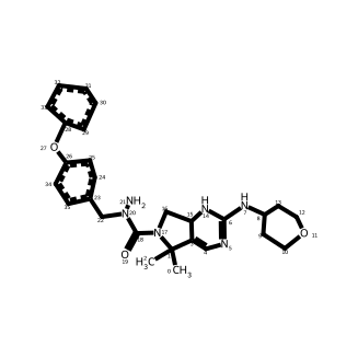 CC1(C)C2=CN=C(NC3CCOCC3)NC2CN1C(=O)N(N)Cc1ccc(Oc2ccccc2)cc1